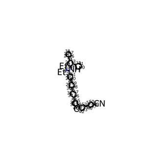 CC/C(C)=C(/NC1C(c2ccccc2)=CC(c2ccccc2)=CC1CC)c1ccc(-c2ccc(-c3ccc(-c4ccc5oc6ccc(-c7ccc(C#N)cc7)cc6c5c4)cc3)cc2)cc1